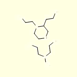 CN(CCO)CCO.OCCC1CNCCN1CCO